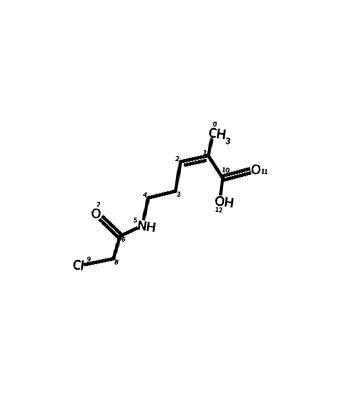 CC(=CCCNC(=O)CCl)C(=O)O